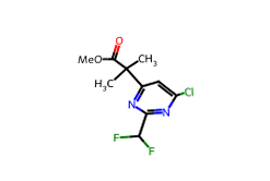 COC(=O)C(C)(C)c1cc(Cl)nc(C(F)F)n1